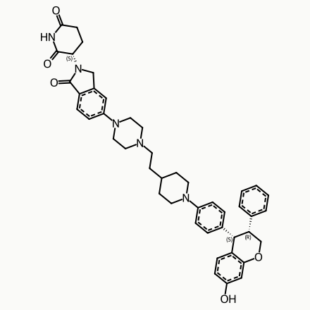 O=C1CC[C@H](N2Cc3cc(N4CCN(CCC5CCN(c6ccc([C@H]7c8ccc(O)cc8OC[C@H]7c7ccccc7)cc6)CC5)CC4)ccc3C2=O)C(=O)N1